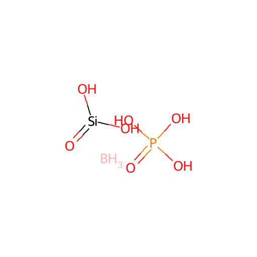 B.O=P(O)(O)O.O=[Si](O)O